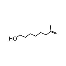 C=C(C)CCCCCCO